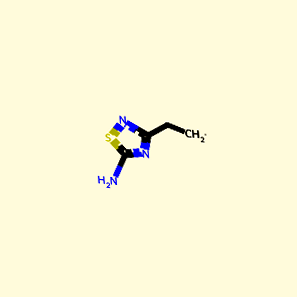 [CH2]Cc1nsc(N)n1